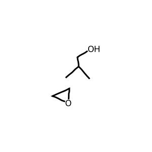 C1CO1.CC(C)CO